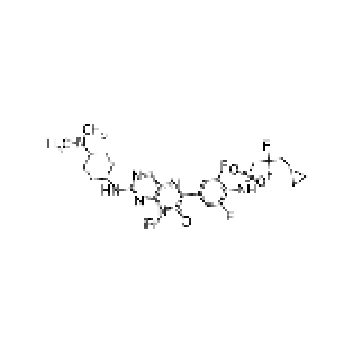 CC(C)n1c(=O)c(-c2cc(F)c(NS(=O)(=O)CC(F)(F)CC3CC3)c(F)c2)nc2cnc(NC3CCC(N(C)C)CC3)nc21